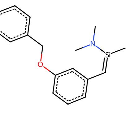 CN(C)/[Si](C)=C\c1cccc(OCc2ccccc2)c1